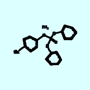 CC(C)(C)c1ccc(OP(=O)(Oc2ccccc2)Oc2ccccc2)cc1.P